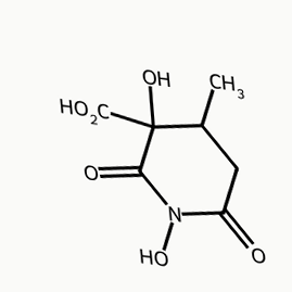 CC1CC(=O)N(O)C(=O)C1(O)C(=O)O